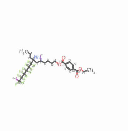 CCCC(N)(CC(I)CCCCOC(=O)c1ccc(C(=O)OCC)cc1)C(F)(F)C(F)(F)C(F)(F)C(F)(F)C(F)(F)C(F)(F)I